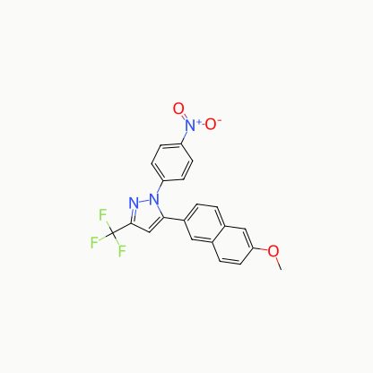 COc1ccc2cc(-c3cc(C(F)(F)F)nn3-c3ccc([N+](=O)[O-])cc3)ccc2c1